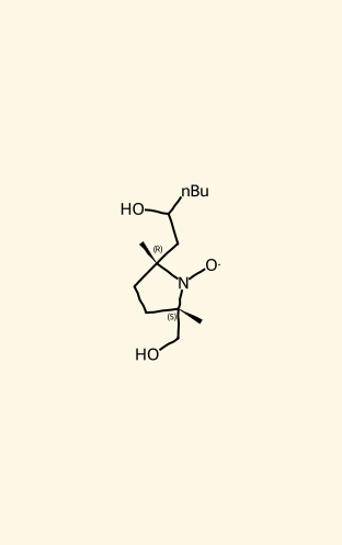 CCCCC(O)C[C@@]1(C)CC[C@@](C)(CO)N1[O]